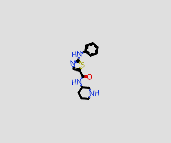 O=C(NC1CCCNC1)c1cnc(Nc2ccccc2)s1